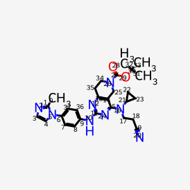 Cc1nccn1-c1ccc(Nc2nc3c(c(N(CCC#N)C4CC4)n2)CN(C(=O)OC(C)(C)C)CC3)cc1